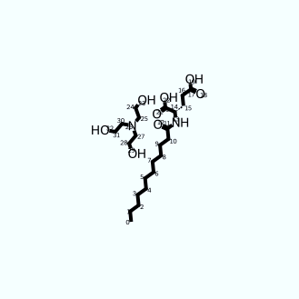 CCCCCCCCCCCC(=O)N[C@@H](CCC(=O)O)C(=O)O.OCCN(CCO)CCO